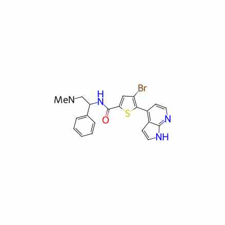 CNCC(NC(=O)c1cc(Br)c(-c2ccnc3[nH]ccc23)s1)c1ccccc1